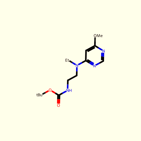 CCN(CCNC(=O)OC(C)(C)C)c1cc(OC)ncn1